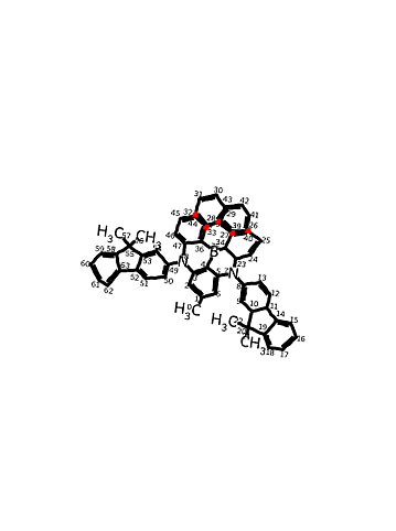 Cc1cc2c3c(c1)N(C1=CC4C(C=C1)c1ccccc1C4(C)C)C1C=CC=C(c4ccccc4)C1B3c1c(-c3ccccc3)cccc1N2c1ccc2c(c1)C(C)(C)c1ccccc1-2